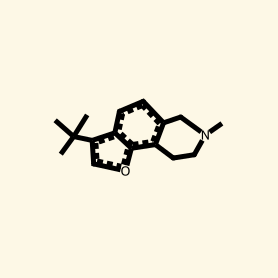 CN1CCc2c(ccc3c(C(C)(C)C)coc23)C1